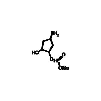 BC1CC(O)C(O[PH](=O)OC)C1